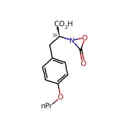 CCCOc1ccc(C[C@@H](C(=O)O)N2OC2=O)cc1